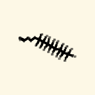 O=COCCC(F)(F)C(F)(F)C(F)(F)C(F)(F)C(F)(F)C(F)(F)C(F)(F)C(F)(F)F